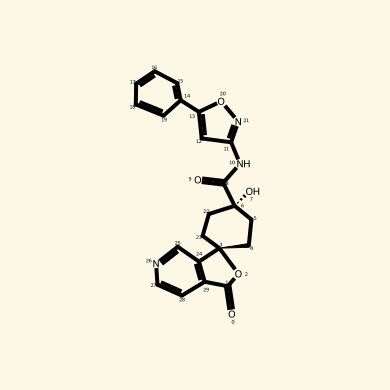 O=C1O[C@]2(CC[C@](O)(C(=O)Nc3cc(-c4ccccc4)on3)CC2)c2cnccc21